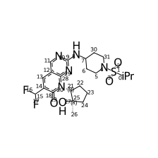 CC(C)S(=O)(=O)N1CCC(Nc2ncc3cc(C(F)F)c(=O)n([C@@H]4CCC[C@@]4(C)O)c3n2)CC1